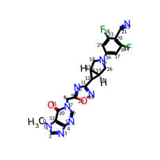 Cn1cnc2ncn(Cc3nc(C4[C@H]5CN(c6cc(F)c(C#N)c(F)c6)C[C@@H]45)no3)c(=O)c21